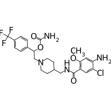 COc1cc(N)c(Cl)cc1C(=O)NCC1CCN(CC(OC(N)=O)c2ccc(C(F)(F)F)cc2)CC1